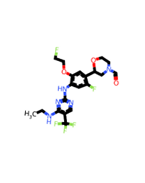 CCNc1nc(Nc2cc(F)c(C3CN(C=O)CCO3)cc2OCCF)ncc1C(F)(F)F